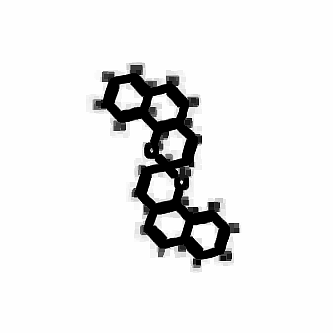 C1=CC2(C=Cc3ccc4ccccc4c3O2)Oc2c1ccc1ccccc21